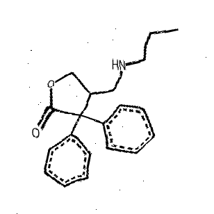 CCCNCC1COC(=O)C1(c1ccccc1)c1ccccc1